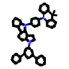 CC1(C)c2ccccc2N(c2ccc(-n3c4ccccc4c4ccc5c(ccn5-c5cc(-c6ccccc6)cc(-c6ccccc6)c5)c43)cc2)c2ccccc21